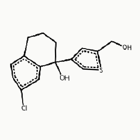 OCc1cc(C2(O)CCCc3ccc(Cl)cc32)cs1